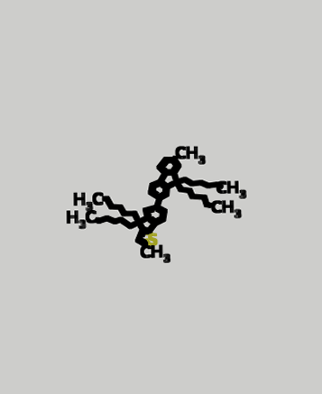 CCCCCCC1(CCCCCC)c2cc(C)ccc2-c2ccc(-c3ccc4c(c3)C(CCCCCC)(CCCCCC)c3cc(C)sc3-4)cc21